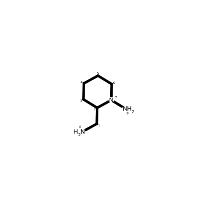 NCC1CCCCN1N